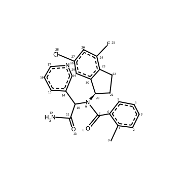 Cc1ccccc1C(=O)N(C(C(N)=O)c1cccnc1)[C@@H]1CCc2c(F)cc(Cl)cc21